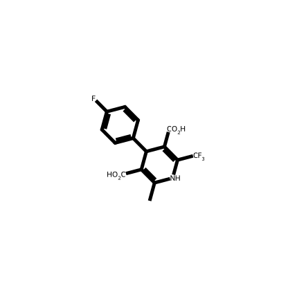 CC1=C(C(=O)O)C(c2ccc(F)cc2)C(C(=O)O)=C(C(F)(F)F)N1